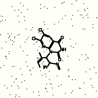 C=NC(C(C)C)C(/C(C)=C\C)n1c(=O)[nH]c(=O)c2cc(Cl)c(Cl)nc21